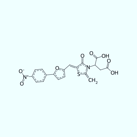 C=c1s/c(=C\c2ccc(-c3ccc([N+](=O)[O-])cc3)o2)c(=O)n1C(CC(=O)O)C(=O)O